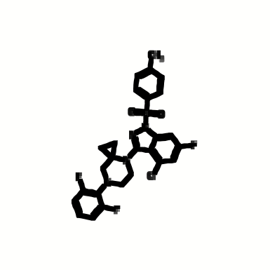 Cc1ccc(S(=O)(=O)n2nc(N3CCN(c4c(F)cccc4F)CC34CC4)c3c(Cl)cc(F)cc32)cc1